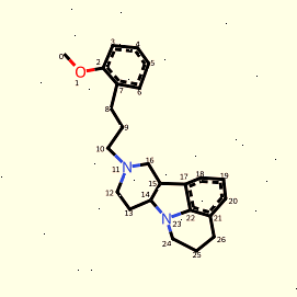 COc1ccccc1CCCN1CCC2C(C1)c1cccc3c1N2CCC3